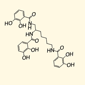 O=C(NCCCCCC(CNC(=O)c1cccc(O)c1O)NC(=O)c1cccc(O)c1O)c1cccc(O)c1O